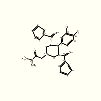 CN(C)C(=O)CN1C[C@H](C(=O)c2ccccc2)C(c2ccc(Cl)c(Cl)c2)[C@@H](C(=O)c2ccccc2)C1